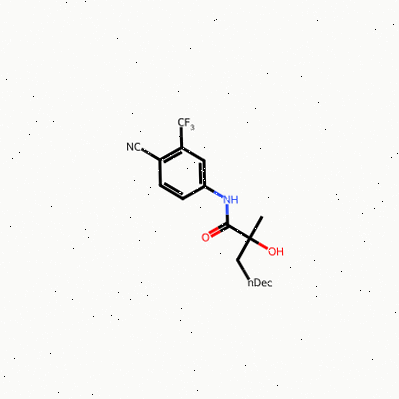 [CH2]CCCCCCCCCCC(C)(O)C(=O)Nc1ccc(C#N)c(C(F)(F)F)c1